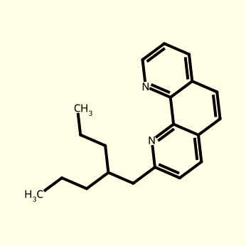 CCCC(CCC)Cc1ccc2ccc3cccnc3c2n1